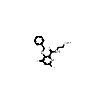 CCc1cc(=O)c(OCc2ccccc2)c(C(=O)NCCOC)[nH]1